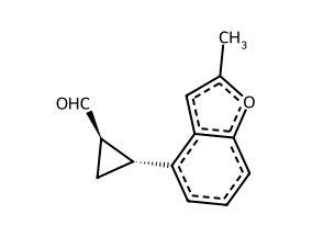 Cc1cc2c([C@@H]3C[C@H]3C=O)cccc2o1